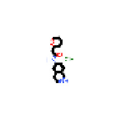 Cl.O=C(CC1CCCCO1)Nc1ccc2c(c1)CCNC2